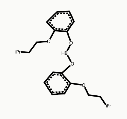 CC(C)CCOc1ccccc1OBOc1ccccc1OCCC(C)C